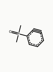 CP(C)(=O)c1c#cccc1